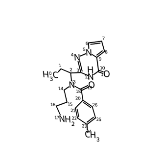 CCC(c1nn2cccc2c(=O)[nH]1)N(CCCN)C(=O)c1ccc(C)cc1